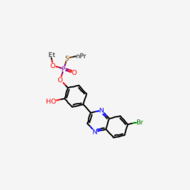 CCCSP(=O)(OCC)Oc1ccc(-c2cnc3ccc(Br)cc3n2)cc1O